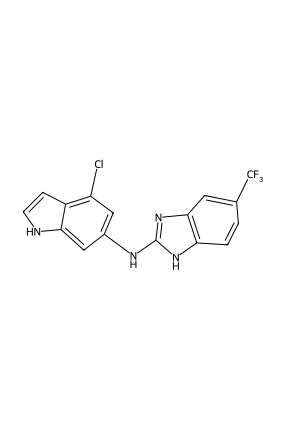 FC(F)(F)c1ccc2[nH]c(Nc3cc(Cl)c4cc[nH]c4c3)nc2c1